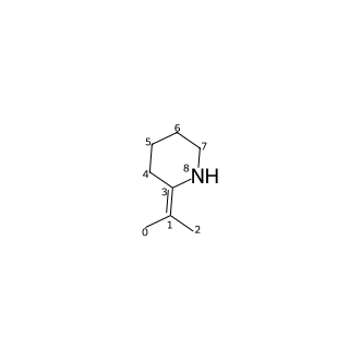 CC(C)=C1CCCCN1